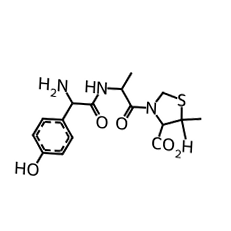 CC(NC(=O)C(N)c1ccc(O)cc1)C(=O)N1CSC(C)(C)C1C(=O)O